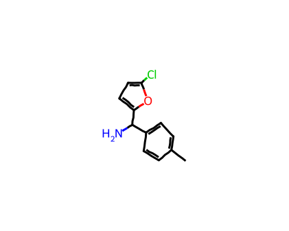 Cc1ccc(C(N)c2ccc(Cl)o2)cc1